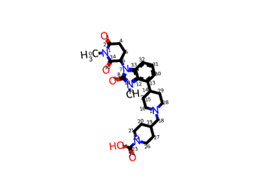 CN1C(=O)CCC(n2c(=O)n(C)c3c(C4CCN(CC5CCN(C(=O)O)CC5)CC4)cccc32)C1=O